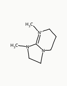 CN1CCN2CCC[N+](C)=C12